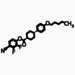 CCCCCOc1ccc([C@H]2CC[C@H](C(=O)Oc3ccc(C#N)c(F)c3F)CC2)cc1